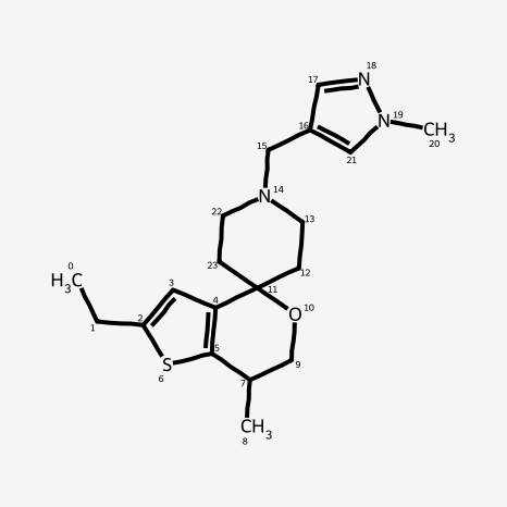 CCc1cc2c(s1)C(C)COC21CCN(Cc2cnn(C)c2)CC1